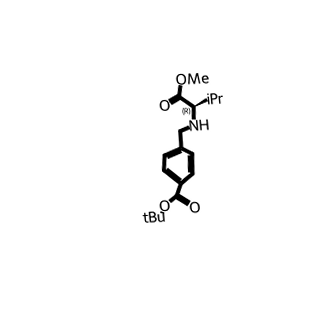 COC(=O)[C@H](NCc1ccc(C(=O)OC(C)(C)C)cc1)C(C)C